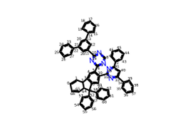 C1=CC2c3cc(-c4ncnc(-c5cc(-c6ccccc6)cc(-c6ccccc6)c5)n4)c(-c4nc(-c5ccccc5)cc(-c5ccccc5)n4)cc3C(c3ccccc3)(c3ccccc3)C2C=C1